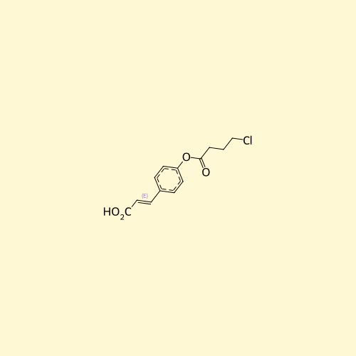 O=C(O)/C=C/c1ccc(OC(=O)CCCCl)cc1